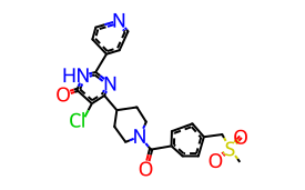 CS(=O)(=O)Cc1ccc(C(=O)N2CCC(c3nc(-c4ccncc4)[nH]c(=O)c3Cl)CC2)cc1